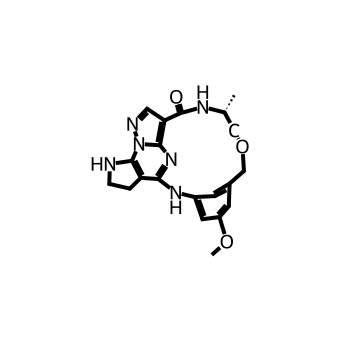 COc1cc2cc(c1)Nc1nc3c(cnn3c3c1CCN3)C(=O)N[C@H](C)COC2